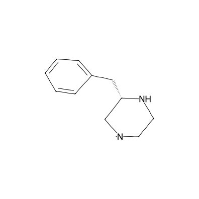 c1ccc(C[C@H]2C[N]CCN2)cc1